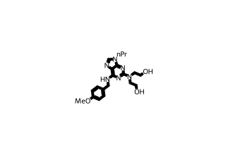 CCCn1cnc2c(NCc3ccc(OC)cc3)nc(N(CCO)CCO)nc21